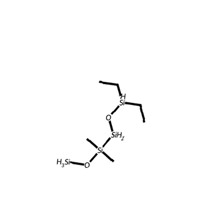 CC[SiH](CC)O[SiH2][Si](C)(C)O[SiH3]